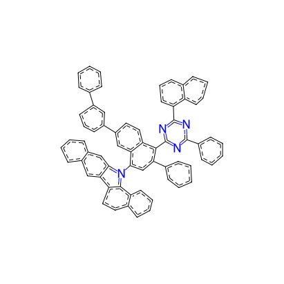 c1ccc(-c2cccc(-c3ccc4c(-c5nc(-c6ccccc6)nc(-c6cccc7ccccc67)n5)c(-c5ccccc5)cc(-n5c6cc7ccccc7cc6c6ccc7ccccc7c65)c4c3)c2)cc1